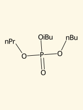 CCCCOP(=O)(OCCC)OCC(C)C